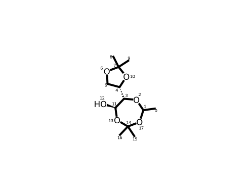 CC1OC([C@@H]2COC(C)(C)O2)[C@H](O)OC(C)(C)O1